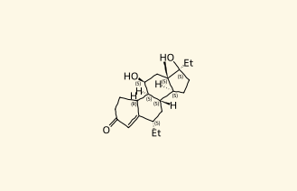 CC[C@H]1C[C@@H]2[C@H]([C@@H](O)C[C@@]3(C)[C@H]2CC[C@@]3(O)CC)[C@H]2CCC(=O)C=C12